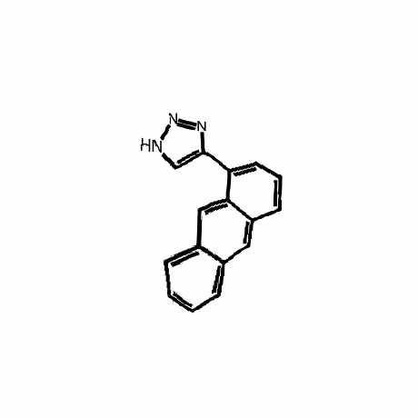 c1ccc2cc3c(-c4c[nH]nn4)cccc3cc2c1